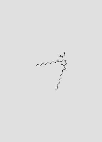 C=CC(=O)c1ccc(OCCCCCCCCC)cc1OCCCCCCCCC